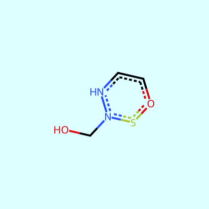 OCn1[nH]ccos1